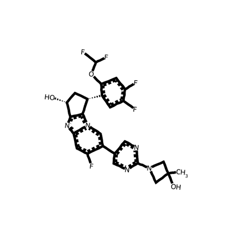 CC1(O)CN(c2ncc(-c3cn4c5c(nc4cc3F)[C@H](O)C[C@@H]5c3cc(F)c(F)cc3OC(F)F)cn2)C1